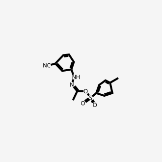 CC(=NNc1cccc(C#N)c1)OS(=O)(=O)c1ccc(C)cc1